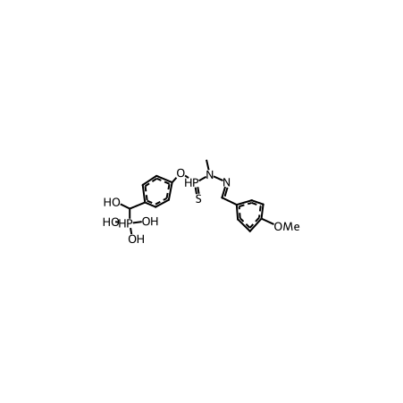 COc1ccc(/C=N/N(C)[PH](=S)Oc2ccc(C(O)[PH](O)(O)O)cc2)cc1